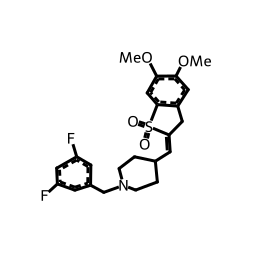 COc1cc2c(cc1OC)S(=O)(=O)C(=CC1CCN(Cc3cc(F)cc(F)c3)CC1)C2